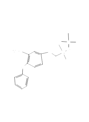 COc1cc(OC[Si](C)(C)O[Si](C)(C)C)ccc1Oc1ccccc1